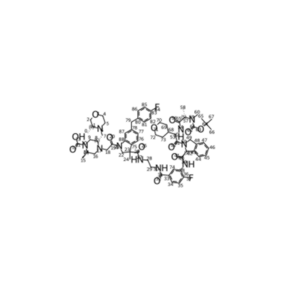 C[C@@H]1COCCN1C[C@H]1CN(C(=O)O)[C@H](C)CN1CC(=O)N1CC(C)(C(=O)NCCNC(=O)c2ccc(F)c(NC(=O)[C@@H]3c4ccccc4CN3C(=O)[C@@H](NC(=O)[C@H](C)N(C)C(=O)OC(C)(C)C)C3CCOCC3)c2)c2ccc(Cc3ccc(F)cc3)cc21